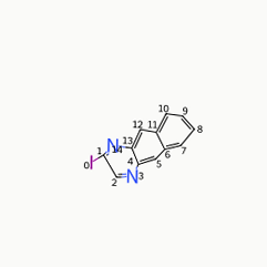 Ic1cnc2cc3ccccc3cc2n1